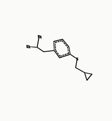 CCC(CC)Cc1cccc(SCC2CC2)c1